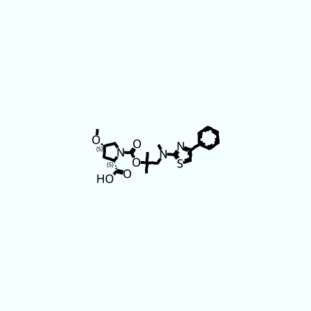 CO[C@H]1C[C@@H](C(=O)O)N(C(=O)OC(C)(C)CN(C)c2nc(-c3ccccc3)cs2)C1